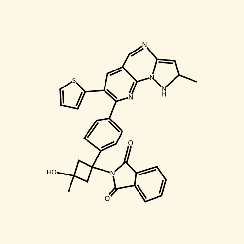 CC1C=C2N=Cc3cc(-c4cccs4)c(-c4ccc(C5(N6C(=O)c7ccccc7C6=O)CC(C)(O)C5)cc4)nc3N2N1